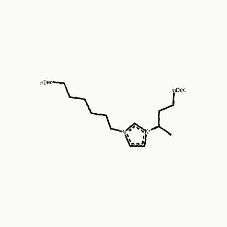 CCCCCCCCCCCCCCCCn1cc[n+](C(C)CCCCCCCCCCCC)c1